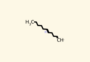 [CH]=CCC/C=C/CCCCC